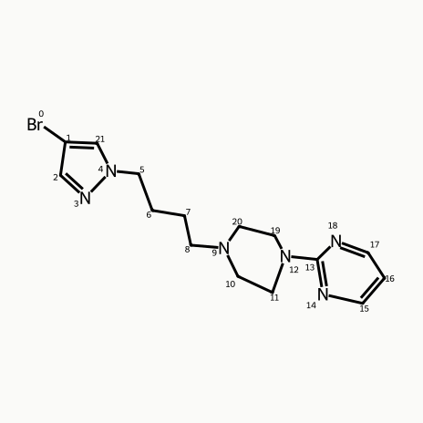 Brc1cnn(CCCCN2CCN(c3ncccn3)CC2)c1